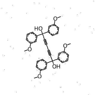 COc1cccc(C(O)(C#CC#CC(O)(c2cccc(OC)c2)c2cccc(OC)c2)c2cccc(OC)c2)c1